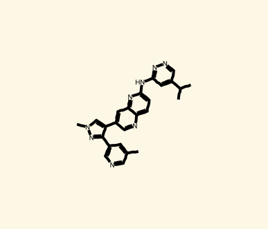 Cc1cncc(-c2nn(C)cc2-c2cnc3ccc(Nc4cc(C(C)C)cnn4)nc3c2)c1